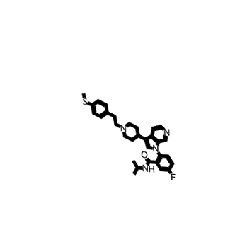 CSc1ccc(CCN2CCC(c3cn(-c4ccc(F)cc4C(=O)NC(C)C)c4cnccc34)CC2)cc1